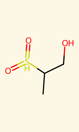 CC(CO)[SH](=O)=O